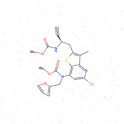 C#C[C@@H](Cc1sc2c(N(Cc3ccco3)C(=O)OC(C)(C)C)cc(Cl)nc2c1C)NC(=O)OC(C)(C)C